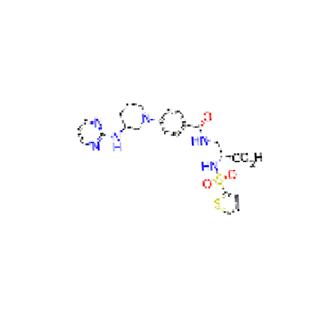 O=C(NC[C@H](NS(=O)(=O)c1cccs1)C(=O)O)c1ccc(N2CCC[C@H](Nc3ncccn3)C2)cc1